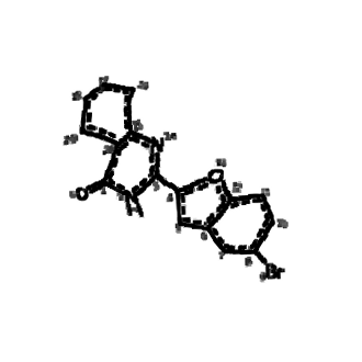 O=c1[nH]c(-c2cc3cc(Br)ccc3o2)nc2ccccc12